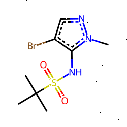 Cn1ncc(Br)c1NS(=O)(=O)C(C)(C)C